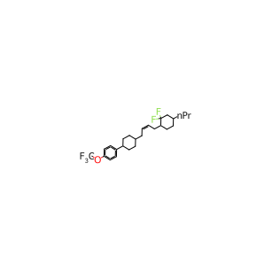 CCCC1CCC(C/C=C\CC2CCC(c3ccc(OC(F)(F)F)cc3)CC2)C(F)(F)C1